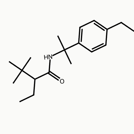 CCc1ccc(C(C)(C)NC(=O)C(CC)C(C)(C)C)cc1